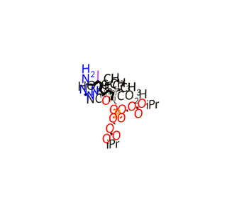 CC(C)OC(=O)OCOP(=O)(OCOC(=O)OC(C)C)OC[C@@H]1O[C@@](C#N)(c2cc(I)c3c(N)ncnn23)[C@@H](C(C)(C)C(=O)O)[C@@H]1C(C)(C)C(=O)O